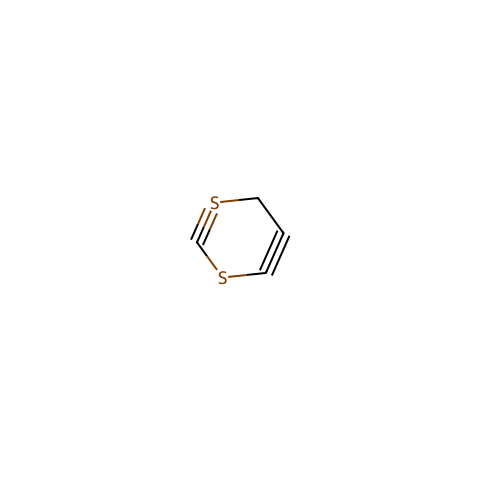 C1#CSC#SC1